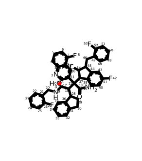 Cc1nc2cccc(F)c2cc1C(C(N)=O)(C(C(=O)NCc1ccccc1F)C1CCc2ccccc21)C1c2ccc(F)cc2C(Cc2ccccc2F)C1C